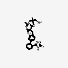 CCCCc1nc(C)n(CC(C)(C)CO)c(=O)c1Cc1ccc(-c2ccccc2-c2noc(=O)[nH]2)cc1